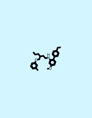 CCCC(CCNc1cc(OC)ccc1-c1ccc(CC)cc1)COc1cccc(C)c1